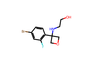 OCCNC1(c2ccc(Br)cc2F)COC1